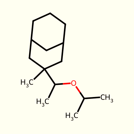 CC(C)OC(C)C1(C)CC2CCCC(C2)C1